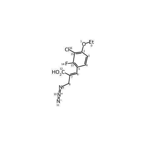 CCOc1ccc(/C=C(/CN=[N+]=[N-])C(=O)O)c(F)c1Cl